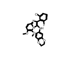 COc1ccc2nc(-c3c(F)cccc3Cl)c(Nc3ccc4c(c3)OCCO4)n2c1OC